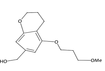 COCCCOc1cc(CO)cc2c1CCCO2